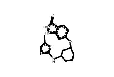 Cc1cnc(NC2CCCC(Oc3ccc4c(=O)[nH][nH]c4c3)C2)s1